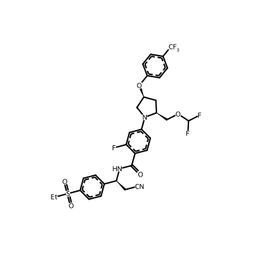 CCS(=O)(=O)c1ccc([C@H](CC#N)NC(=O)c2ccc(N3C[C@@H](Oc4ccc(C(F)(F)F)cc4)C[C@H]3COC(F)F)cc2F)cc1